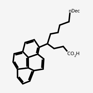 CCCCCCCCCCCCCCC(CCC(=O)O)c1ccc2ccc3cccc4ccc1c2c34